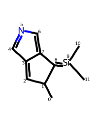 CC1C=C2C=NC=C2C1=[Si](C)C